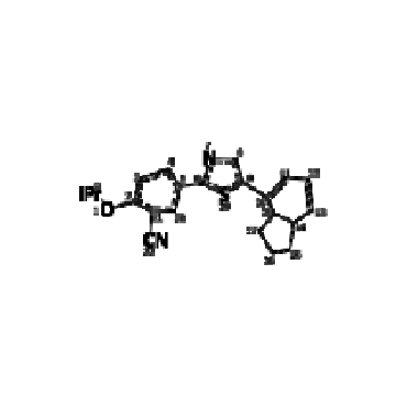 CC(C)Oc1ccc(-c2ncc(C3=CC=CC4CCCC34)s2)cc1C#N